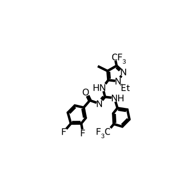 CCn1nc(C(F)(F)F)c(C)c1N/C(=N\C(=O)c1ccc(F)c(F)c1)Nc1cccc(C(F)(F)F)c1